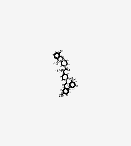 CCOc1cccc(F)c1CN1CCN(C(=O)[C@H](N)C2CCN(CCc3cc(Cl)ccc3-c3cccc(C(C)(C)C)c3)CC2)CC1